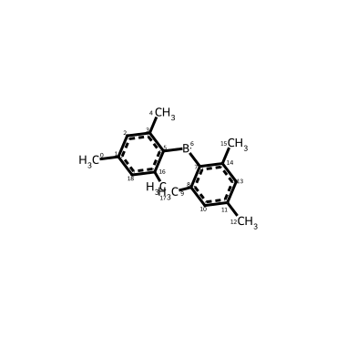 Cc1cc(C)c([B]c2c(C)cc(C)cc2C)c(C)c1